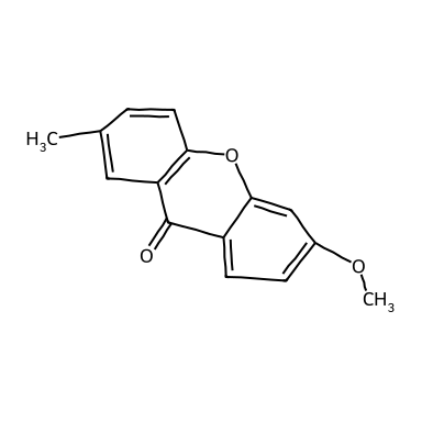 COc1ccc2c(=O)c3cc(C)ccc3oc2c1